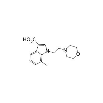 Cc1cccc2c(C(=O)O)cn(CCN3CCOCC3)c12